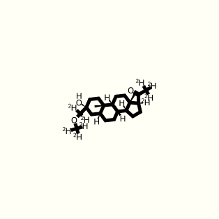 [2H]C([2H])([2H])OC([2H])([2H])[C@@]1(O)CC[C@@]2(C)[C@@H](CC[C@@H]3[C@@H]2CC[C@@]2(C)[C@H]3CC[C@]2([2H])C(=O)C([2H])([2H])[2H])C1